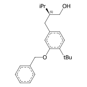 CC(C)[C@@H](CO)Cc1ccc(C(C)(C)C)c(OCc2ccccc2)c1